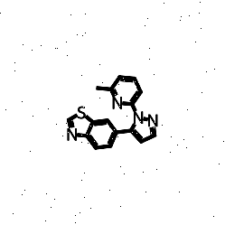 Cc1cccc(-n2nccc2-c2ccc3ncsc3c2)n1